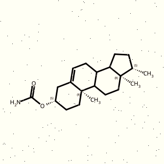 C[C@H]1CCC2C3CC=C4C[C@@H](OC(N)=O)CC[C@]4(C)C3CC[C@@]21C